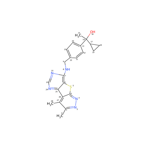 Cc1nnc2sc3c(NCc4ccc(C(C)(O)C5CC5)cc4)ncnc3c2c1C